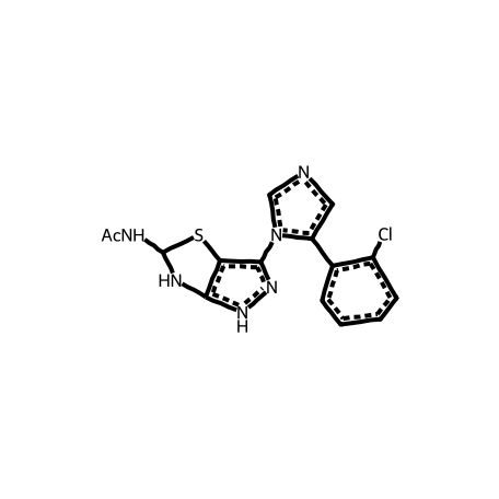 CC(=O)NC1Nc2[nH]nc(-n3cncc3-c3ccccc3Cl)c2S1